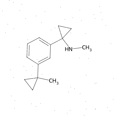 CNC1(c2cccc(C3(C)CC3)c2)CC1